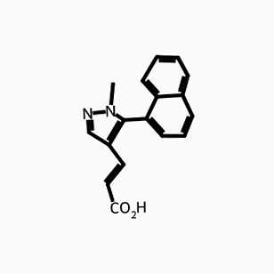 Cn1ncc(/C=C/C(=O)O)c1-c1cccc2ccccc12